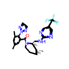 Cc1cc(C)c(-n2nccn2)c(C(=O)N2CCC[C@@H](C)[C@H]2CNc2ncc(C(F)(F)F)cn2)c1